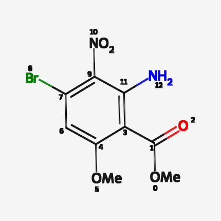 COC(=O)c1c(OC)cc(Br)c([N+](=O)[O-])c1N